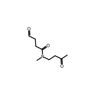 CC(=O)CCN(C)C(=O)CCC=O